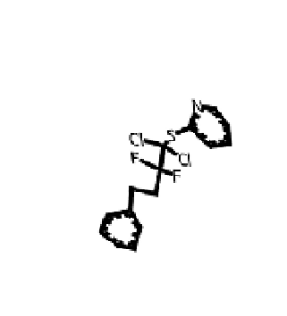 FC(F)(CCc1ccccc1)C(Cl)(Cl)Sc1ccccn1